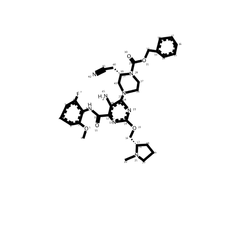 COc1cccc(F)c1NC(=O)c1nc(OC[C@@H]2CCCN2C)nc(N2CCN(C(=O)OCc3ccccc3)[C@@H](CC#N)C2)c1N